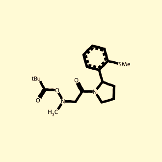 CSc1ccccc1C1CCCN1C(=O)CN(C)OC(=O)C(C)(C)C